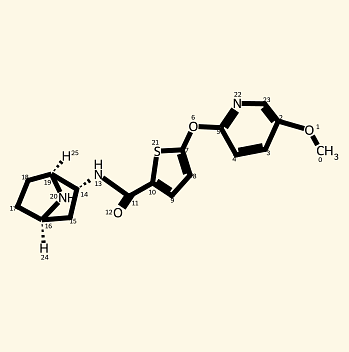 COc1ccc(Oc2ccc(C(=O)N[C@@H]3C[C@H]4CC[C@@H]3N4)s2)nc1